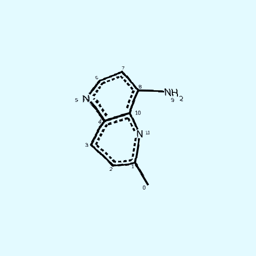 Cc1ccc2nccc(N)c2n1